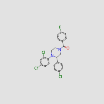 O=C(c1ccc(F)cc1)N1CCN(c2ccc(Cl)cc2Cl)C(c2ccc(Cl)cc2)C1